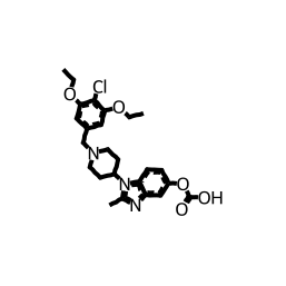 CCOc1cc(CN2CCC(n3c(C)nc4cc(OC(=O)O)ccc43)CC2)cc(OCC)c1Cl